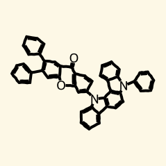 O=c1c2ccc(-n3c4ccccc4c4ccc5c(c6ccccc6n5-c5ccccc5)c43)cc2oc2cc(-c3ccccc3)c(-c3ccccc3)cc12